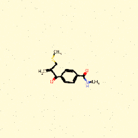 C=C(CSC)C(=O)c1ccc(C(=O)NC)cc1